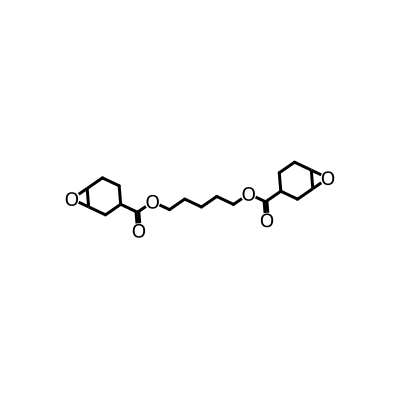 O=C(OCCCCCOC(=O)C1CCC2OC2C1)C1CCC2OC2C1